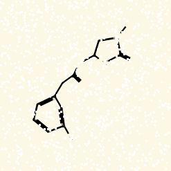 CN1CC(OC(=O)Cc2cccc(N)c2)NC1=O